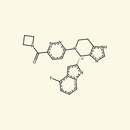 O=C(c1ccc(N2CCc3[nH]cnc3[C@@H]2c2cc3c(F)cccn3n2)nn1)N1CCC1